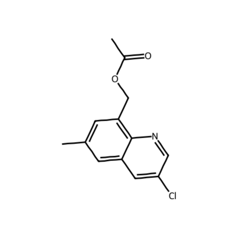 CC(=O)OCc1cc(C)cc2cc(Cl)cnc12